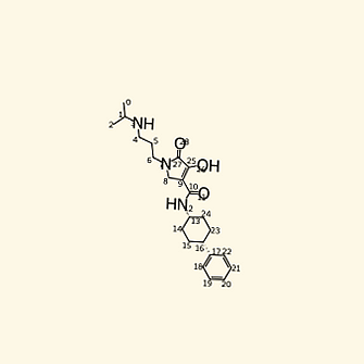 CC(C)NCCCN1CC(C(=O)N[C@H]2CC[C@@H](c3ccccc3)CC2)=C(O)C1=O